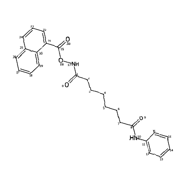 O=C(CCCCCCC(=O)Nc1ccccc1)NOC(=O)c1cccc2ccccc12